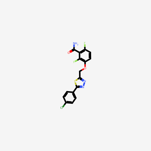 NC(=O)c1c(F)ccc(OCc2nnc(-c3ccc(Cl)cc3)s2)c1F